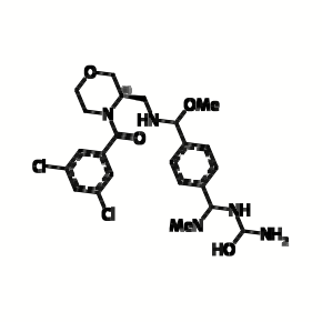 CNC(NC(N)O)c1ccc(C(NC[C@@H]2COCCN2C(=O)c2cc(Cl)cc(Cl)c2)OC)cc1